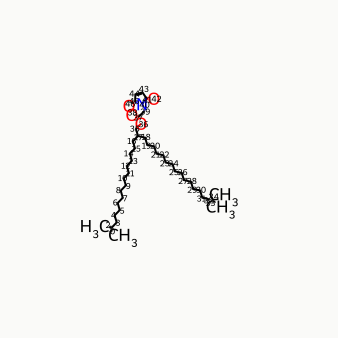 CC(C)CCCCCCCCCCCCCCC(CCCCCCCCCCCCCCC(C)C)COC(=O)CN1C(=O)C=CC1=O